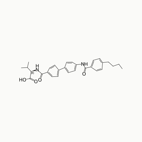 CCCCc1ccc(C(=O)Nc2ccc(-c3ccc(C(=O)N[C@@H](C(=O)O)C(C)C)cc3)cc2)cc1